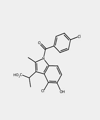 Cc1c(C(C)C(=O)O)c2c(Cl)c(O)ccc2n1C(=O)c1ccc(Cl)cc1